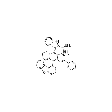 BC(B)c1nc2ccccc2n1-c1c2ccccc2c(-c2cccc3sc4ccccc4c23)c2cc(-c3ccccc3)ccc12